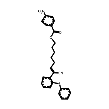 N#C/C(=C\CCCCCOC(=O)c1ccc([N+](=O)[O-])cc1)c1ccccc1Sc1ccccc1